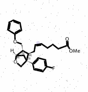 COC(=O)CCC/C=C\C[C@@H]1[C@@H](COc2ccccc2)[C@H]2C[C@]1(c1ccc(F)cc1)CO2